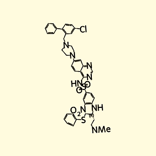 CNCC[C@H](CSc1ccccc1)Nc1ccc(S(=O)(=O)Nc2ncnc3cc(N4CCN(Cc5cc(Cl)ccc5-c5ccccc5)CC4)ccc23)cc1[N+](=O)[O-]